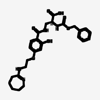 O=C(N[C@@H](CNC(=O)c1ccc(OCCNC2=NCCCCC2)cc1O)C(=O)O)OCc1ccccc1